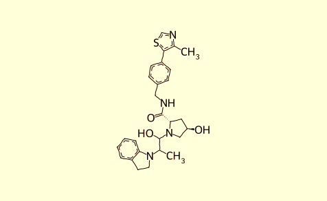 Cc1ncsc1-c1ccc(CNC(=O)[C@@H]2C[C@@H](O)CN2C(O)C(C)N2CCc3ccccc32)cc1